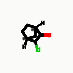 O=C1C(Cl)[C@@H]2CC[C@@H]1C2